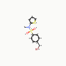 CN(c1cccs1)S(=O)(=O)c1ccc(CBr)cc1